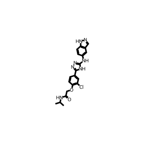 CC(C)NC(=O)COc1ccc(-c2nnc(Nc3ccc4[nH]ncc4c3)[nH]2)cc1Cl